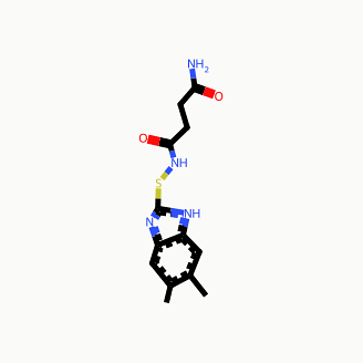 Cc1cc2nc(SNC(=O)CCC(N)=O)[nH]c2cc1C